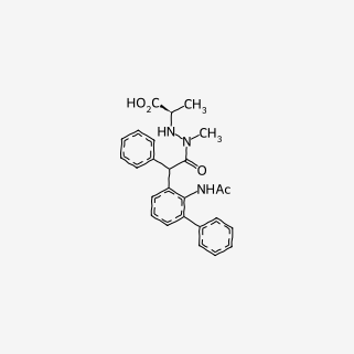 CC(=O)Nc1c(-c2ccccc2)cccc1C(C(=O)N(C)N[C@H](C)C(=O)O)c1ccccc1